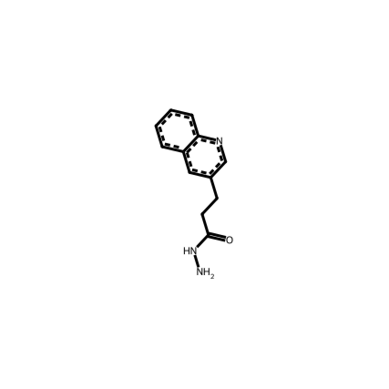 NNC(=O)CCc1cnc2ccccc2c1